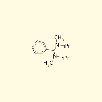 CC(C)N(C)C(c1ccccc1)N(C)C(C)C